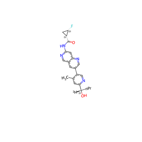 [2H][C@](O)(CCC)c1cc(C)c(-c2cnc3cc(NC(=O)[C@@H]4C[C@@H]4F)ncc3c2)cn1